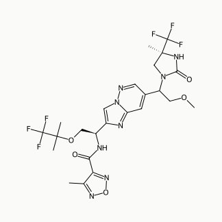 COCC(c1cnn2cc([C@H](COC(C)(C)C(F)(F)F)NC(=O)c3nonc3C)nc2c1)N1C[C@@](C)(C(F)(F)F)NC1=O